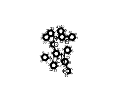 Cc1c(N(c2ccccc2)c2ccccc2)cc(-c2ccc(N(c3cccc4ccccc34)c3cc4oc5ccccc5c4c4ccccc34)o2)cc1N(c1ccccc1)c1ccc(-c2ccco2)cc1